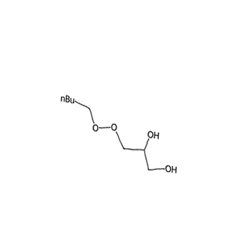 CCCCCOOCC(O)CO